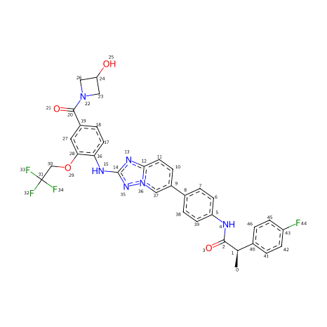 C[C@@H](C(=O)Nc1ccc(-c2ccc3nc(Nc4ccc(C(=O)N5CC(O)C5)cc4OCC(F)(F)F)nn3c2)cc1)c1ccc(F)cc1